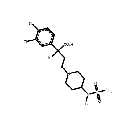 CCN(C1CCN(CCC(CC)(C(=O)O)c2ccc(Cl)c(Cl)c2)CC1)S(C)(=O)=O